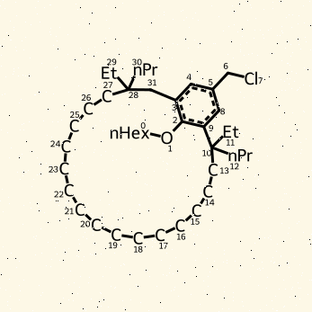 CCCCCCOc1c2cc(CCl)cc1C(CC)(CCC)CCCCCCCCCCCCCCCC(CC)(CCC)C2